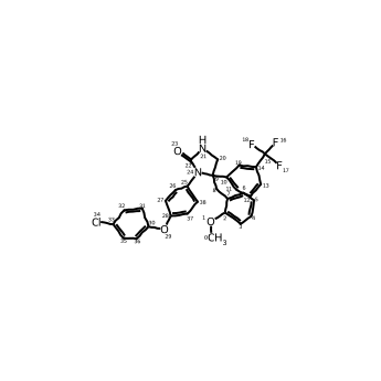 COc1ccccc1CC1(c2cccc(C(F)(F)F)c2)CNC(=O)N1c1ccc(Oc2ccc(Cl)cc2)cc1